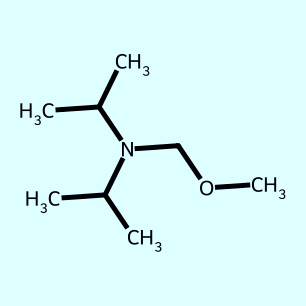 COCN(C(C)C)C(C)C